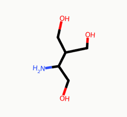 NC(CO)C(CO)CO